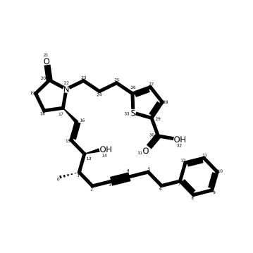 C[C@@H](CC#CCCc1ccccc1)[C@H](O)/C=C/[C@H]1CCC(=O)N1CCCc1ccc(C(=O)O)s1